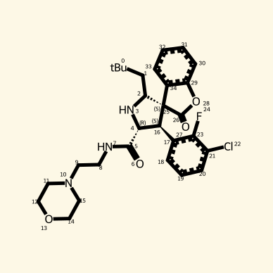 CC(C)(C)CC1N[C@@H](C(=O)NCCN2CCOCC2)[C@H](c2cccc(Cl)c2F)[C@@]12C(=O)Oc1ccccc12